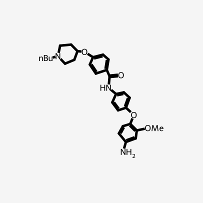 CCCCN1CCC(Oc2ccc(C(=O)Nc3ccc(Oc4ccc(N)cc4OC)cc3)cc2)CC1